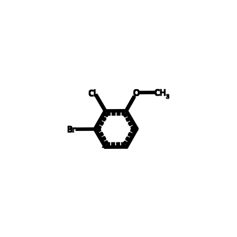 COc1cc[c]c(Br)c1Cl